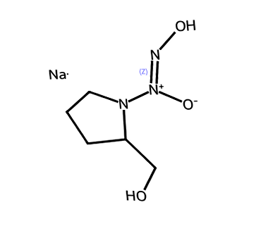 [Na].[O-]/[N+](=N\O)N1CCCC1CO